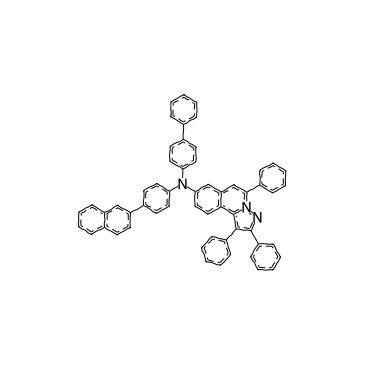 c1ccc(-c2ccc(N(c3ccc(-c4ccc5ccccc5c4)cc3)c3ccc4c(c3)cc(-c3ccccc3)n3nc(-c5ccccc5)c(-c5ccccc5)c43)cc2)cc1